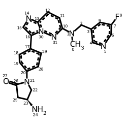 CN(Cc1cncc(F)c1)c1ccc2ncc(-c3ccc(N4C[C@@H](N)CC4=O)cc3)n2n1